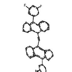 Fc1cc(F)cc(-c2c3ccccc3c(C#Cc3c4ccccc4c(-c4cc(F)cc(F)c4)c4ccccc34)c3ccccc23)c1